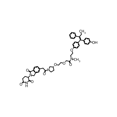 CC/C(=C(\c1ccc(O)cc1)c1ccc(OCCN(C)C(=O)COCCO[C@@H]2CCN(C(=O)Cc3ccc4c(c3)CN(C3CCC(=O)NC3=O)C4=O)C2)cc1)c1ccccc1